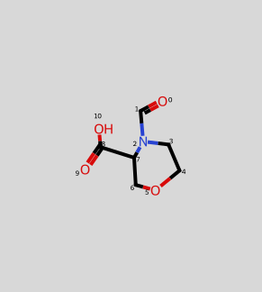 O=[C]N1CCOCC1C(=O)O